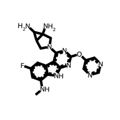 CNc1cc(F)cc2c1[nH]c1nc(Oc3cncnc3)nc(N3CC4C(N)C4(N)C3)c12